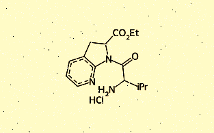 CCOC(=O)C1Cc2cccnc2N1C(=O)C(N)C(C)C.Cl